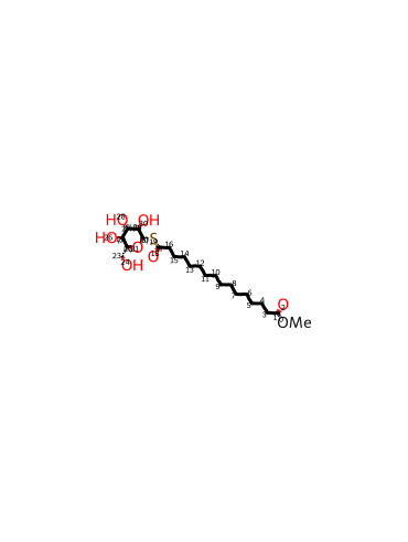 COC(=O)CCCCCCCCCCCCCCC(=O)S[C@@H]1O[C@H](CO)[C@@H](O)[C@H](O)[C@H]1O